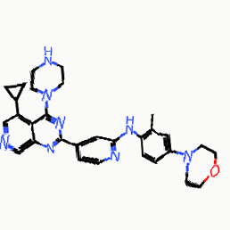 Cc1cc(N2CCOCC2)ccc1Nc1cc(-c2nc(N3CCNCC3)c3c(C4CC4)cncc3n2)ccn1